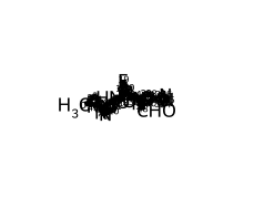 Cc1cccc(-c2nnc3ccc(NC(=O)C4CC(F)CN4C(=O)Cn4nc(C=O)c5cc(-c6ccnnc6)ccc54)cn23)n1